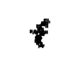 COc1nc(NC2CC(C)(O)C2)nc2[nH]cc(-c3ccc4nnn(CC(F)F)c4c3)c12